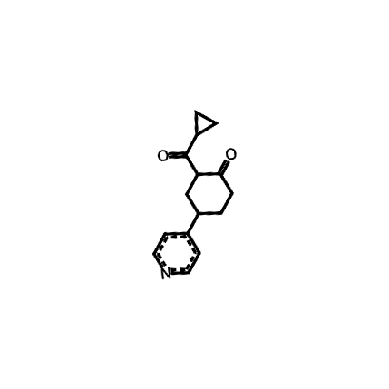 O=C1CCC(c2ccncc2)CC1C(=O)C1CC1